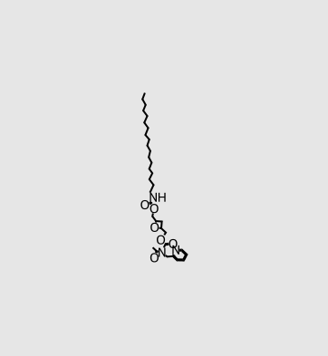 CCCCCCCCCCCCCCCCCCNC(=O)OCC1CC(COC(=O)N(Cc2ccccn2)C(C)=O)O1